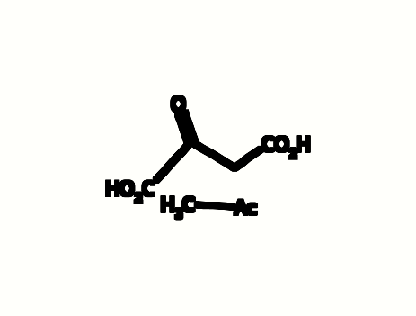 CC(C)=O.O=C(O)CC(=O)C(=O)O